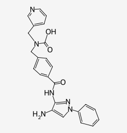 Nc1cn(-c2ccccc2)nc1NC(=O)c1ccc(CN(Cc2cccnc2)C(=O)O)cc1